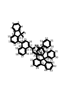 CC1(C)c2ccccc2-c2cccc(-c3ccc(-c4cc(-c5cccc6c5C(c5ccccc5)(c5ccccc5)c5ccccc5-6)nc(-c5ccccc5)n4)c4ccccc34)c21